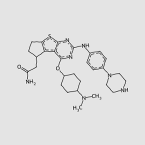 CN(C)C1CCC(Oc2nc(Nc3ccc(N4CCNCC4)cc3)nc3sc4c(c23)C(CC(N)=O)CC4)CC1